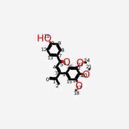 C=C(C)C(=CC(=O)c1ccc(O)cc1)c1cc(OC)c(OC)c(OC)c1